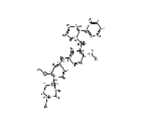 COc1cc(Nc2ncc(OC)c(Nc3cccnc3-c3ccccn3)n2)ccc1N1CCN(C)CC1